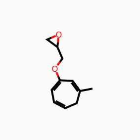 CC1=CC(OCC2CO2)=CC=CC1